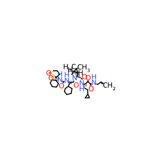 C=CCNC(=O)C(=O)[C@H](CCC1CC1)NC(=O)[C@@H]1[C@@H]2[C@H](CN1C(=O)[C@@H](NC(=O)NC1([C@H]3CCCS3(=O)=O)CCCCC1)C1CCCCC1)C2(C)C